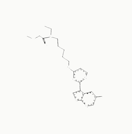 CCN(CCCCCNc1ccnc(-c2c[nH]c3ncc(Cl)cc23)n1)C(=O)COC